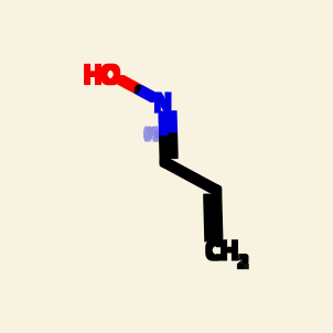 C=C/C=N/O